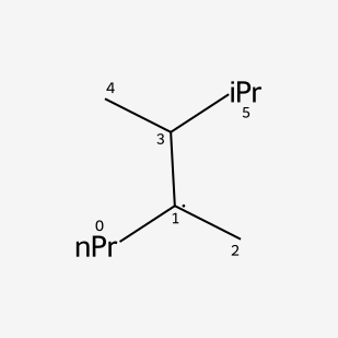 CCC[C](C)C(C)C(C)C